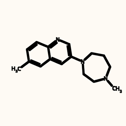 Cc1ccc2ncc(N3CCCN(C)CC3)cc2c1